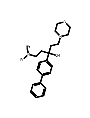 CC(C)N(CCC(C#N)(CCN1CCOCC1)c1ccc(-c2ccccc2)cc1)C(C)C